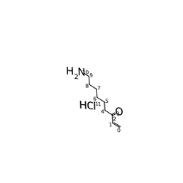 C=CC(=O)CCCCCCN.Cl